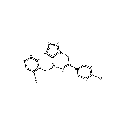 Clc1ccc(C(Cn2ccnc2)=NOCc2ccccc2Cl)cc1